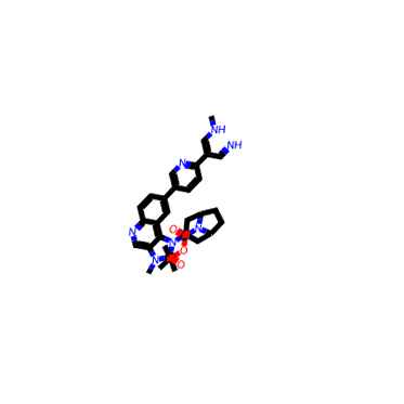 CN/C=C(\C=N)c1ccc(-c2ccc3ncc4c(c3c2)n(C2CC3CCC(C2)N3C(=O)OC(C)(C)C)c(=O)n4C)cn1